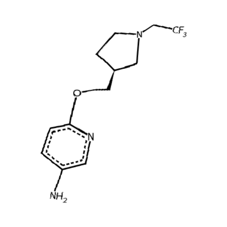 Nc1ccc(OC[C@H]2CCN(CC(F)(F)F)C2)nc1